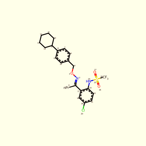 CCC/C(=N\OCc1ccc(C2CCCCC2)cc1)c1cc(Cl)ccc1NS(=O)(=O)C(F)(F)F